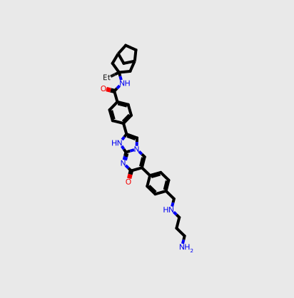 CCC1(NC(=O)c2ccc(-c3cn4cc(-c5ccc(CNCCCN)cc5)c(=O)nc4[nH]3)cc2)CC2CCC(C2)C1